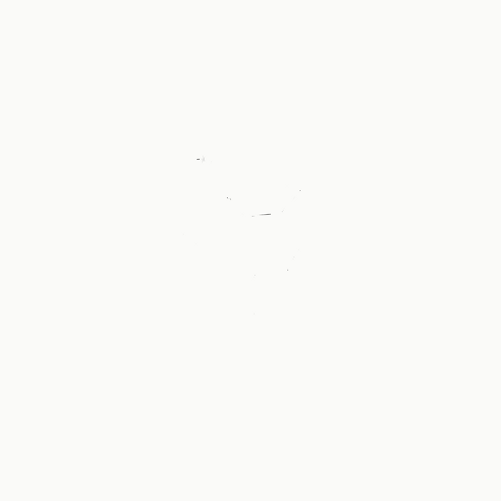 C1=CC[C]([Cr]([c]2ccccc2)[CH](c2ccccc2)c2ccccn2)=C1.Cl.Cl